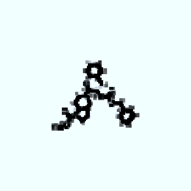 CC(C)(C)OC(=O)N1CCC2CN(C(=O)[C@H](Cc3ccccc3)NC(=O)OCc3ccccc3)CCC21